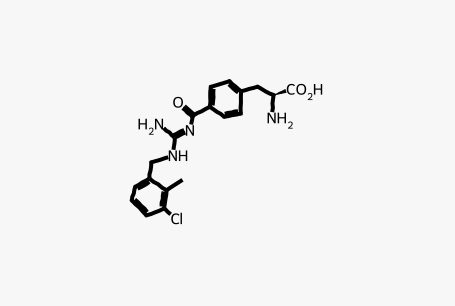 Cc1c(Cl)cccc1CN/C(N)=N/C(=O)c1ccc(C[C@H](N)C(=O)O)cc1